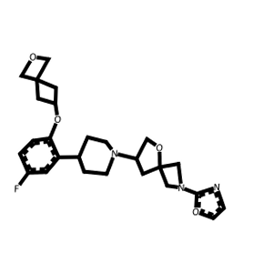 Fc1ccc(OC2CC3(COC3)C2)c(C2CCN(C3COC4(C3)CN(c3ncco3)C4)CC2)c1